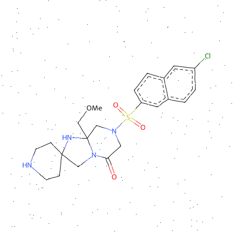 COCC12CN(S(=O)(=O)c3ccc4cc(Cl)ccc4c3)CC(=O)N1CC1(CCNCC1)N2